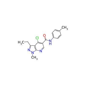 CCc1nn(C)c2ncc(C(=O)Nc3ccc(C)cc3)c(Cl)c12